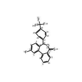 Fc1ccc2c(c1)-c1ccccc1C(=S)OC2c1ccc(C(F)(F)F)cc1